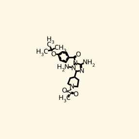 CC(C)(C)Oc1ccc(C(=O)N2C(N)=NC(C3CCN(S(C)(=O)=O)CC3)N2N)cc1